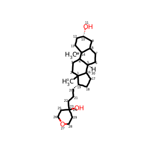 CC12CCC3[C@@H](CCC4C[C@@H](O)CC[C@@]43C)C1CC[C@@H]2CCCC1(O)CCOCC1